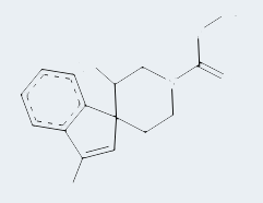 CCC1=CC2(CCN(C(=O)OC(C)(C)C)CC2C(=O)O)c2ccccc21